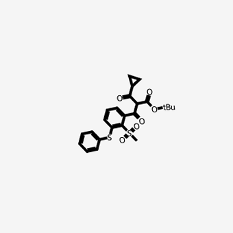 CC(C)(C)OC(=O)C(C(=O)c1cccc(Sc2ccccc2)c1S(C)(=O)=O)C(=O)C1CC1